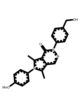 COc1ccc(-n2c(C)c3cnn(-c4ccc(CO)cc4)c(=O)c3c2C)cc1